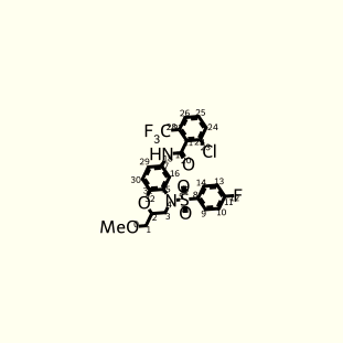 COCC1CN(S(=O)(=O)c2ccc(F)cc2)c2cc(NC(=O)c3c(Cl)cccc3C(F)(F)F)ccc2O1